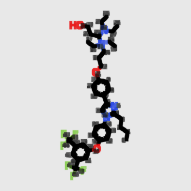 CCCCc1nc(-c2ccc(OCCC[N+](CC)(CC)C(CCO)N(CC)CC)cc2)cn1-c1ccc(Oc2cc(C(F)(F)F)cc(C(F)(F)F)c2)cc1